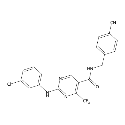 N#Cc1ccc(CNC(=O)c2cnc(Nc3cccc(Cl)c3)nc2C(F)(F)F)cc1